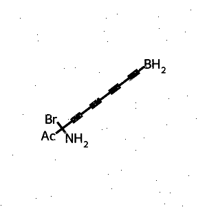 BC#CC#CC#CC#CC(N)(Br)C(C)=O